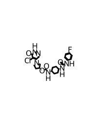 O=C(Nc1ccc(F)cc1)N[C@H]1CC[C@@H](NC(=O)O[C@@H]2CCN(c3cn[nH]c(=O)c3Cl)C2)CC1